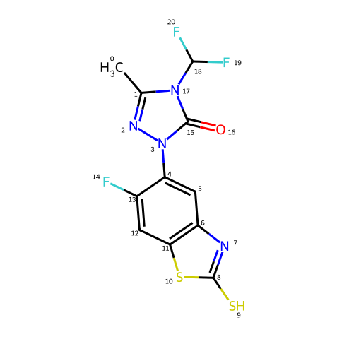 Cc1nn(-c2cc3nc(S)sc3cc2F)c(=O)n1C(F)F